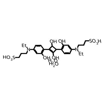 CCN(CCCS(=O)(=O)O)c1ccc(C2=C(O)C(c3ccc(N(CC)CCCS(=O)(=O)O)cc3O)C2O)c(O)c1.O.O